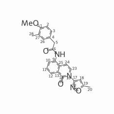 COc1ccc(CC(=O)Nc2cccc3c(=O)n(-c4cc(C)on4)ccc23)cc1C